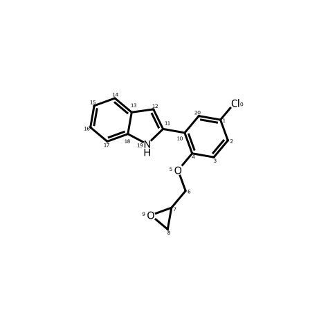 Clc1ccc(OCC2CO2)c(-c2cc3ccccc3[nH]2)c1